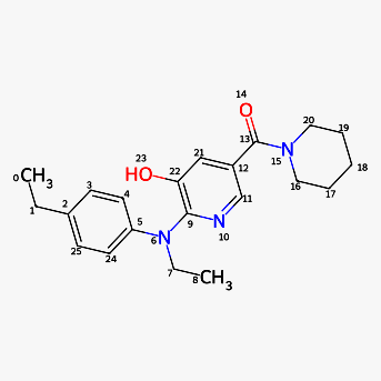 CCc1ccc(N(CC)c2ncc(C(=O)N3CCCCC3)cc2O)cc1